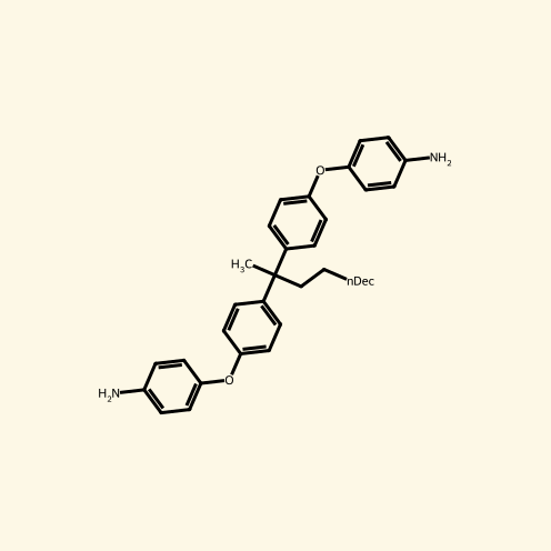 CCCCCCCCCCCCC(C)(c1ccc(Oc2ccc(N)cc2)cc1)c1ccc(Oc2ccc(N)cc2)cc1